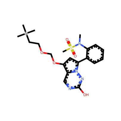 CN(c1ccccc1-c1cc(OCOCC[Si](C)(C)C)c2cnc(O)nn12)S(C)(=O)=O